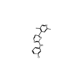 Cc1cc(-c2ccnc(Nc3cccc(Cl)c3)n2)c(C)cn1